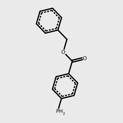 O=C(OCc1ccccc1)c1ccc(P)cc1